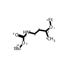 CCOC(C)CCNC(=O)OC(C)(C)C